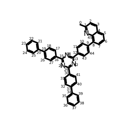 Cc1ccc2cccc(-c3ccc(-c4nc(-c5ccc(-c6ccccc6)cc5)nc(-c5ccc(-c6ccccc6)cc5)n4)cc3)c2n1